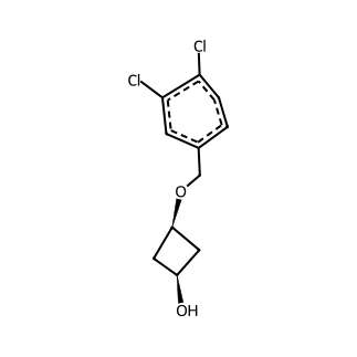 O[C@H]1C[C@@H](OCc2ccc(Cl)c(Cl)c2)C1